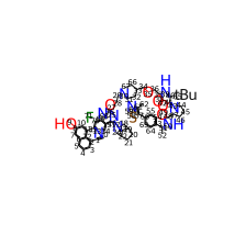 C#Cc1cccc2cc(O)cc(-c3ncc4c(N5CC6CCC(C6)C5)nc(OCCN5CCC(COCC(=O)NC(C(=O)N6CCCC6C(=O)NC(C)c6ccc(-c7scnc7C)cc6)C(C)(C)C)CC5)nc4c3F)c12